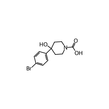 O=C(O)N1CCC(O)(c2ccc(Br)cc2)CC1